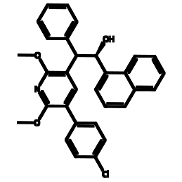 COc1nc(OC)c(C(c2ccccc2)[C@@H](O)c2cccc3ccccc23)cc1-c1ccc(Cl)cc1